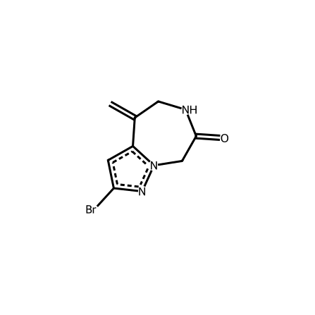 C=C1CNC(=O)Cn2nc(Br)cc21